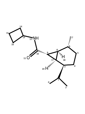 CC(C)[C@@H]1CC[C@@H](C)[C@@H]2[C@@H](C(=O)NC3CCC3)[C@@H]21